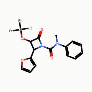 CC[Si](CC)(CC)OC1C(=O)N(C(=O)N(C)c2ccccc2)C1c1ccco1